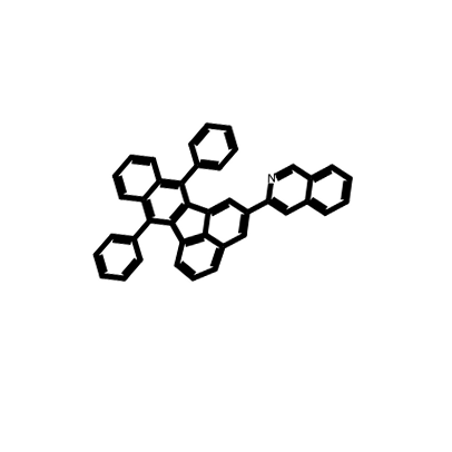 c1ccc(-c2c3c(c(-c4ccccc4)c4ccccc24)-c2cc(-c4cc5ccccc5cn4)cc4cccc-3c24)cc1